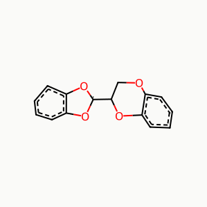 c1ccc2c(c1)OCC([C]1Oc3ccccc3O1)O2